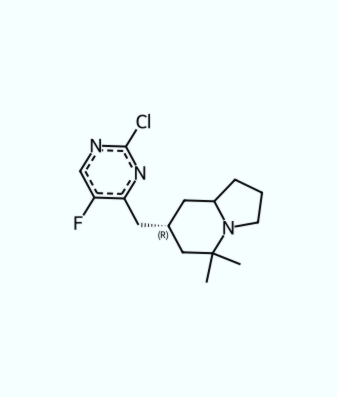 CC1(C)C[C@H](Cc2nc(Cl)ncc2F)CC2CCCN21